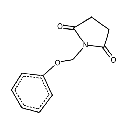 O=C1CCC(=O)N1COc1ccccc1